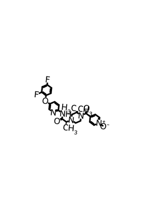 C[C@@H](C(=O)Nc1ccc(Oc2ccc(F)cc2F)cn1)N1CCN(C(=O)c2cc[n+]([O-])cc2)C(C)(C)C1